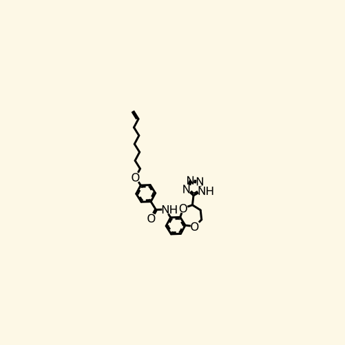 C=CCCCCCCOc1ccc(C(=O)Nc2cccc3c2OC(c2nnn[nH]2)CCO3)cc1